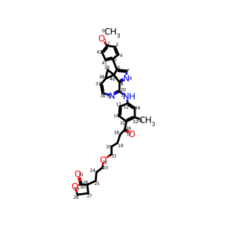 COc1ccc(C2=CN=C3C(Nc4ccc(C(=O)CCCCOCCCC5CCOC5=O)c(C)c4)=NC=CC4CC234)cc1